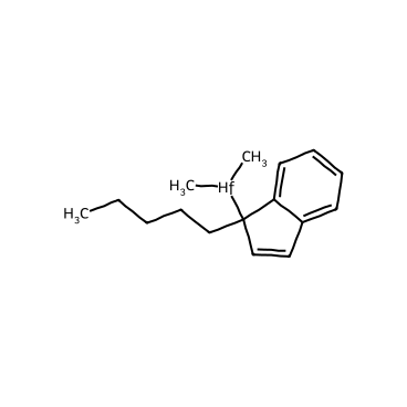 CCCCC[C]1([Hf]([CH3])[CH3])C=Cc2ccccc21